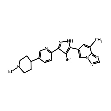 CCN1CCC(c2ccc(-c3n[nH]c(-c4cc(C)c5ncnn5c4)c3C(C)C)nc2)CC1